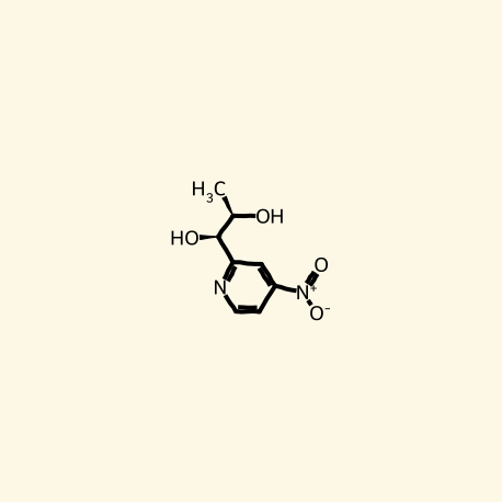 C[C@@H](O)[C@H](O)c1cc([N+](=O)[O-])ccn1